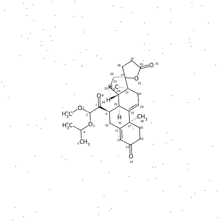 COC(OC(C)C)C(=O)[C@@H]1CC2=CC(=O)CC[C@]2(C)C2=CC[C@@]3(C)[C@@H](CC[C@@]34CCC(=O)O4)[C@@H]21